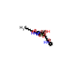 CCCCCCCOC(=O)Nc1ccn([C@@H]2O[C@H](CO)[C@@H](OC(=O)CCCCC(=O)Nc3ccccc3)C2(F)F)c(=O)n1